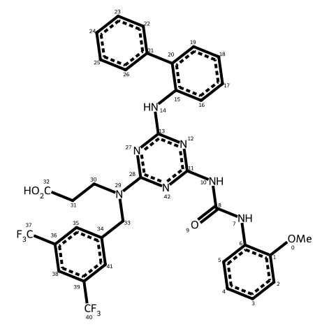 COc1ccccc1NC(=O)Nc1nc(Nc2ccccc2-c2ccccc2)nc(N(CCC(=O)O)Cc2cc(C(F)(F)F)cc(C(F)(F)F)c2)n1